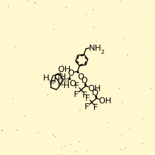 CN1[C@H]2CC[C@@H]1[C@@H](C(=O)OC(=O)c1ccc(CN)cc1)[C@@H](O)C2.O=C(O)C(F)(F)F.O=C(O)C(F)(F)F